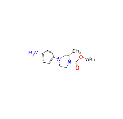 CCCCOC(=O)N1CCN(c2ccc(N)cc2)CC1C